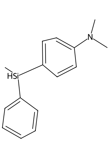 CN(C)c1ccc([SiH](C)c2ccccc2)cc1